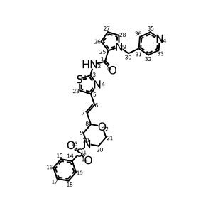 O=C(Nc1nc(/C=C/C2CN(S(=O)(=O)c3ccccc3)CCO2)cs1)c1cccn1Cc1ccncc1